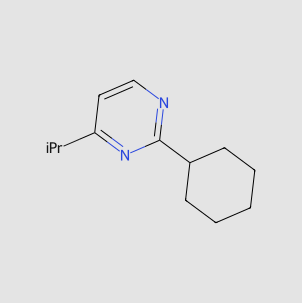 CC(C)c1ccnc(C2CCCCC2)n1